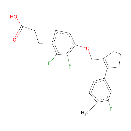 Cc1ccc(C2=C(COc3ccc(CCC(=O)O)c(F)c3F)CCC2)cc1F